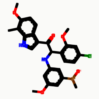 COc1cc(NC(C(=O)c2c[nH]c3c(C)c(OC)ccc23)c2ccc(Cl)cc2OC)cc([S+](C)[O-])c1